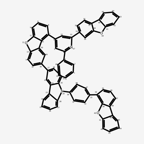 c1ccc(-c2cc(-c3cccc4oc5ccc(-c6ccc7c(c6)c6ccccc6n7-c6ccc(-c7cccc8c7oc7ccccc78)cc6)cc5c34)cc(-c3ccc4c(c3)oc3ccccc34)n2)cc1